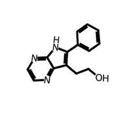 OCCc1c(-c2ccccc2)[nH]c2nccnc12